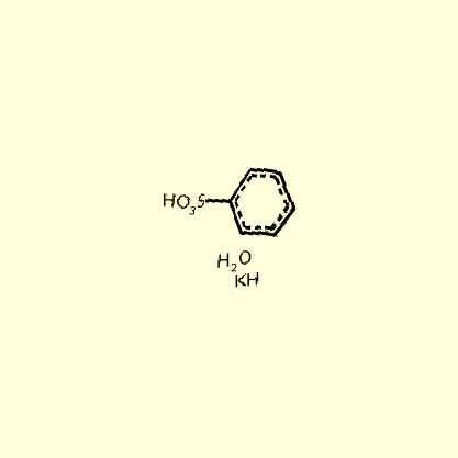 O.O=S(=O)(O)c1ccccc1.[KH]